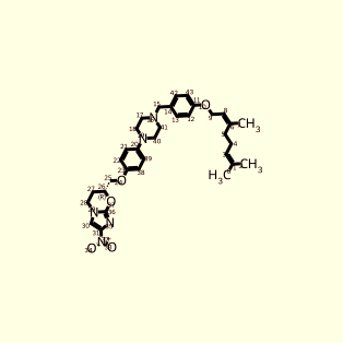 CC(C)=CCCC(C)=CCOc1ccc(CN2CCN(c3ccc(OC[C@H]4CCn5cc([N+](=O)[O-])nc5O4)cc3)CC2)cc1